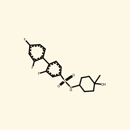 CC1(O)CCC(NS(=O)(=O)c2ccc(-c3ccc(F)cc3F)c(F)c2)CC1